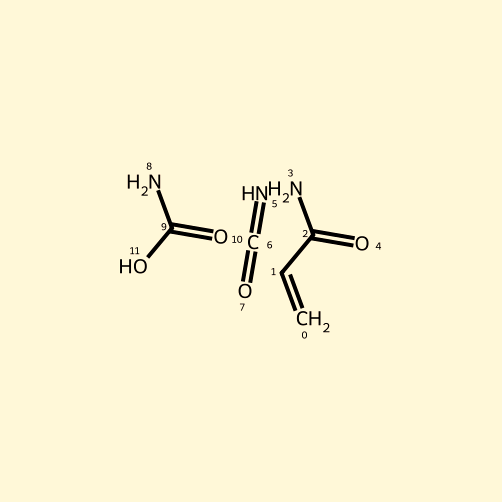 C=CC(N)=O.N=C=O.NC(=O)O